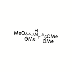 COC(CCNCCC(OC)OC)OC